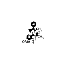 COc1ccnc(C(=O)NC(C)C(=O)ON(C)C(c2ccccc2)C2CC2)c1O